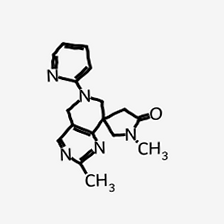 Cc1ncc2c(n1)C1(CC(=O)N(C)C1)CN(c1ccccn1)C2